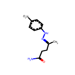 C/C(CCC(N)=O)=N\Nc1ccc([N+](=O)[O-])cc1